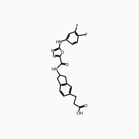 O=C(O)CCc1ccc2c(c1)CC(NC(=O)c1nnc(Nc3ccc(F)c(F)c3)o1)C2